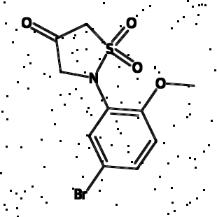 COc1ccc(Br)cc1N1CC(=O)CS1(=O)=O